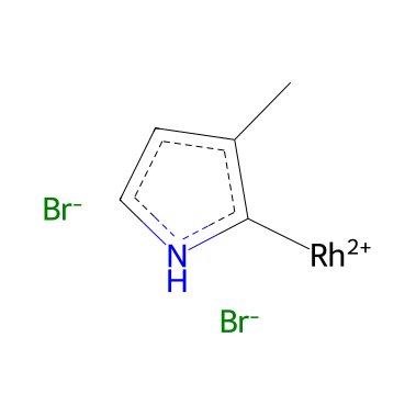 Cc1cc[nH][c]1[Rh+2].[Br-].[Br-]